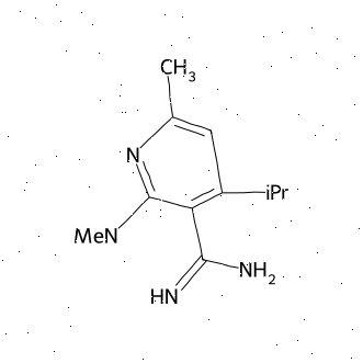 CNc1nc(C)cc(C(C)C)c1C(=N)N